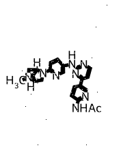 CC(=O)Nc1ccc(-c2ccnc(Nc3ccc(N4C[C@@H]5C[C@H]4CN5C)nc3)n2)cn1